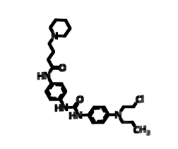 CCCN(CCCl)c1ccc(NC(=O)Nc2ccc(NC(=O)CCCN3CCCCC3)cc2)cc1